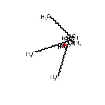 CCCCCCCCCCCCCCCCCCC(C(=O)O)C(S)C(C(=O)OC)C(C(S)C(CCCCCCCCCCCCCCCCCC)C(=O)O)C(S)C(CCCCCCCCCCCCCCCCCC)C(=O)O